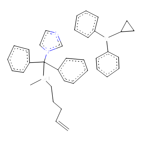 C=CCCC[SiH](C)C(c1ccccc1)(c1ccccc1)n1ccnc1.c1ccc(B(c2ccccc2)C2CC2)cc1